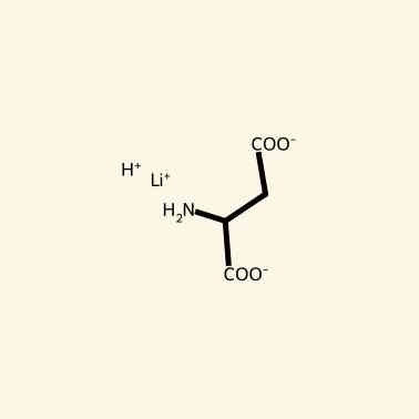 NC(CC(=O)[O-])C(=O)[O-].[H+].[Li+]